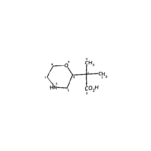 CC(C)(C(=O)O)C1CNCCO1